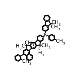 Cc1ccc(N(c2ccc3c(c2)C(C)(C)c2ccccc2-3)c2ccc3c(c2)C(C)(C)c2cc4c(cc2-3)C(C)(C)c2cc(-c3ccccc3C)c3ccccc3c2-4)cc1